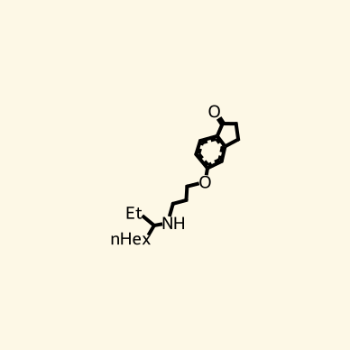 CCCCCCC(CC)NCCCOc1ccc2c(c1)CCC2=O